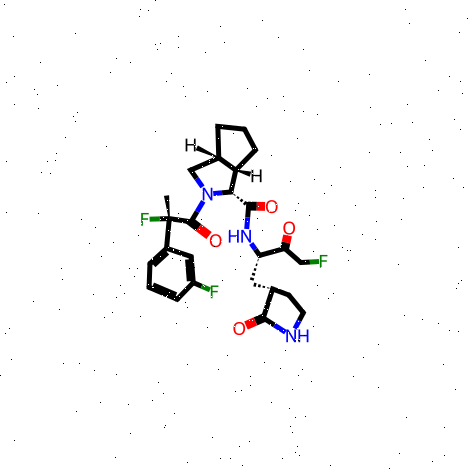 C[C@@](F)(C(=O)N1C[C@@H]2CCC[C@@H]2[C@@H]1C(=O)N[C@@H](C[C@@H]1CCNC1=O)C(=O)CF)c1cccc(F)c1